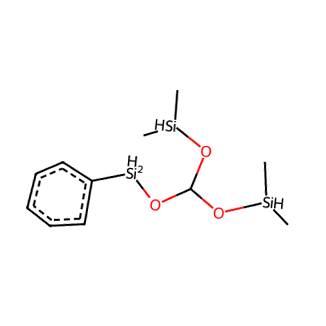 C[SiH](C)OC(O[SiH2]c1ccccc1)O[SiH](C)C